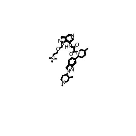 CC1CCC(c2ccc3cn(C4CCN(C)CC4C)nc3c2)N(C(=O)C(=O)Nc2cncc3cnn(COCC[Si](C)(C)C)c23)C1